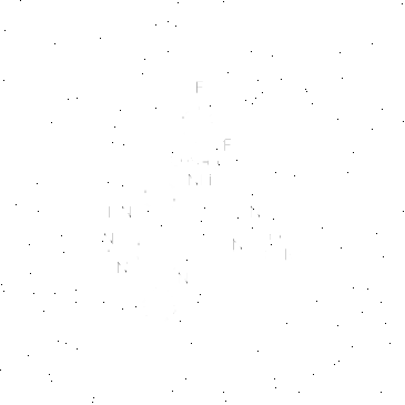 CN1CCN(CCCn2cc(-c3cc(Nc4ccc(NS(=O)(=O)c5ccc(F)cc5F)cc4)ncn3)c3ccccc32)CC1.O=CO